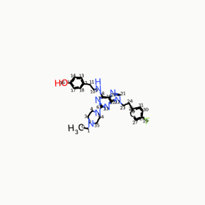 CCN1CCN(c2nc(NCCc3ccc(O)cc3)c3ncn(CCc4ccc(F)cc4)c3n2)CC1